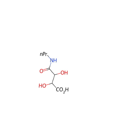 CCCNC(=O)C(O)C(O)C(=O)O